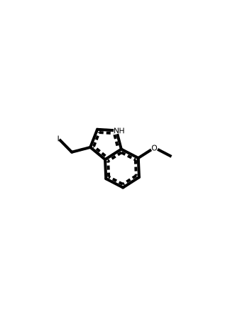 COc1cccc2c(CI)c[nH]c12